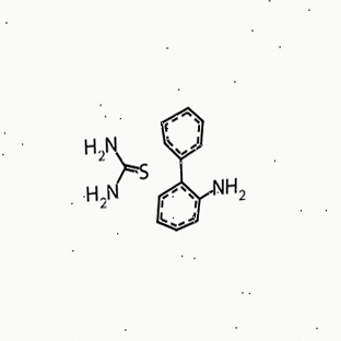 NC(N)=S.Nc1ccccc1-c1ccccc1